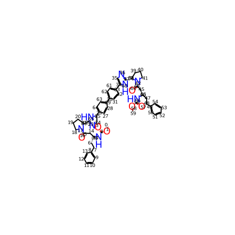 COC(=O)N[C@H](CCc1ccccc1)CC(=O)N1CCC[C@H]1C1=NCC(c2ccc(-c3ccc(-c4cnc([C@@H]5CCCN5C(=O)C[C@@H](CCc5ccccc5)NC(=O)OC)[nH]4)cc3)cc2)N1